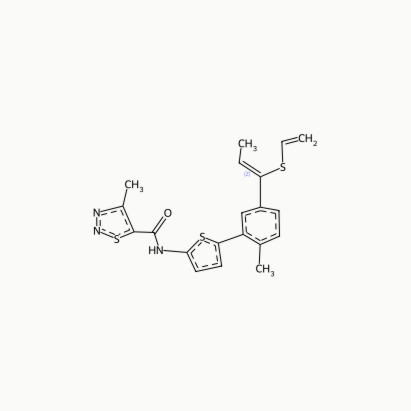 C=CS/C(=C\C)c1ccc(C)c(-c2ccc(NC(=O)c3snnc3C)s2)c1